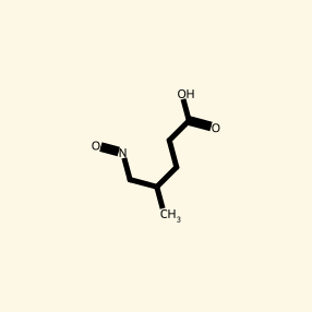 CC(CCC(=O)O)CN=O